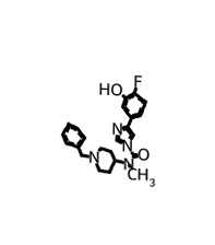 CN(C(=O)n1cnc(-c2ccc(F)c(O)c2)c1)C1CCN(Cc2ccccc2)CC1